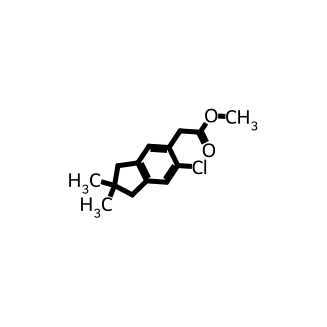 COC(=O)Cc1cc2c(cc1Cl)CC(C)(C)C2